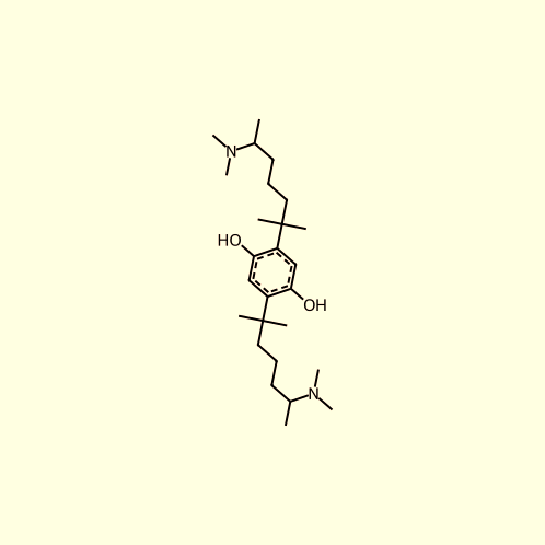 CC(CCCC(C)(C)c1cc(O)c(C(C)(C)CCCC(C)N(C)C)cc1O)N(C)C